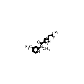 [CH2]CCC(F)Cn1cc(C(=O)N(C)c2cc(C(F)(F)F)ccn2)nn1